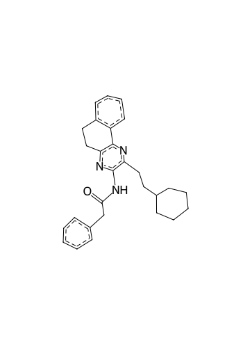 O=C(Cc1ccccc1)Nc1nc2c(nc1CCC1CCCCC1)-c1ccccc1CC2